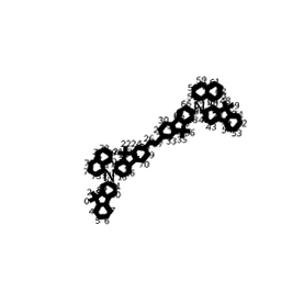 CC1(C)c2ccccc2-c2ccc(N(c3ccc4c(c3)C(C)(C)c3cc(/C=C/c5ccc6c(c5)C(C)(C)c5cc(N(c7ccc8c(c7)C(C)(C)c7ccccc7-8)c7cccc8ccccc78)ccc5-6)ccc3-4)c3cccc4ccccc34)cc21